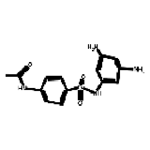 CC(=O)Nc1ccc(S(=O)(=O)Nc2cc(N)cc(N)c2)cc1